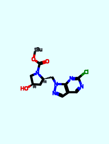 CC(C)(C)OC(=O)N1C[C@H](O)C[C@H]1Cn1ncc2cnc(Cl)nc21